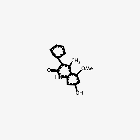 COc1cc(O)cc2[nH]c(=O)c(-c3ccccc3)c(C)c12